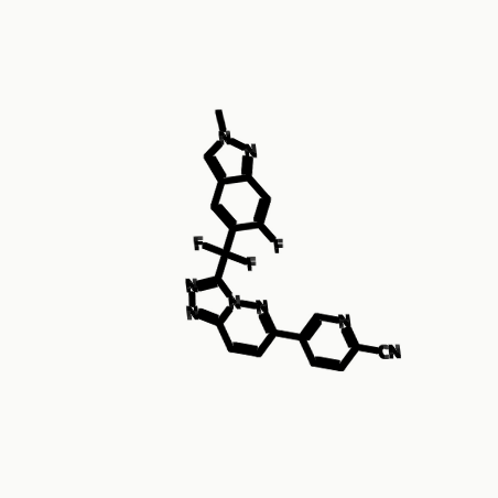 Cn1cc2cc(C(F)(F)c3nnc4ccc(-c5ccc(C#N)nc5)nn34)c(F)cc2n1